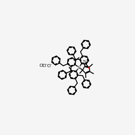 CC1=C(C)C(C)([Si](c2c(C)ccc(Cc3ccccc3)c2Cc2ccccc2)(c2c(C)ccc(Cc3ccccc3)c2Cc2ccccc2)c2c(C)ccc(Cc3ccccc3)c2Cc2ccccc2)[C]([Ti+3])=C1C.[Cl-].[Cl-].[Cl-]